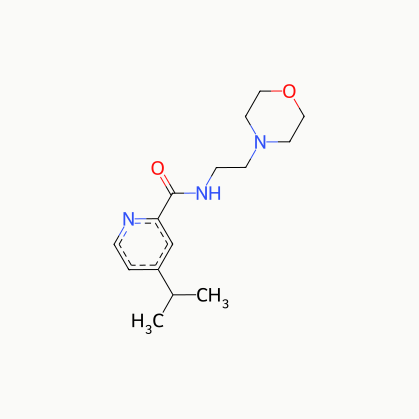 CC(C)c1ccnc(C(=O)NCCN2CCOCC2)c1